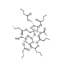 CCCC(=O)OC[C@H]1O[C@@](COC(=O)CCC)(O[C@H]2O[C@H](CO)[C@@H](OC(=O)CCC)[C@H](OC(=O)CCC)[C@H]2OC(=O)CCC)[C@@H](OC(C)=O)[C@@H]1OC(=O)CCC